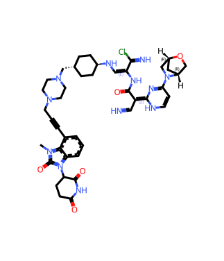 Cn1c(=O)n(C2CCC(=O)NC2=O)c2cccc(C#CCN3CCN(C[C@H]4CC[C@H](N/C=C(/NC(=O)/C(C=N)=C5\N=C(N6C[C@H]7C[C@@H]6CO7)C=CN5)C(=N)Cl)CC4)CC3)c21